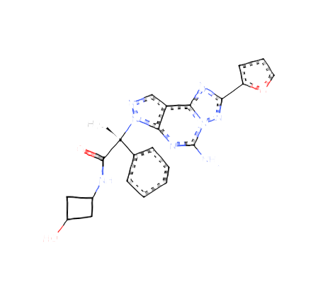 C[C@](C(=O)NC1CC(O)C1)(c1ccccc1)n1ncc2c1nc(N)n1nc(-c3ccco3)nc21